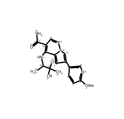 COc1ccc(-c2cc3c(NC(C)C(C)(C)C#N)c(C(N)=O)cnn3c2)cn1